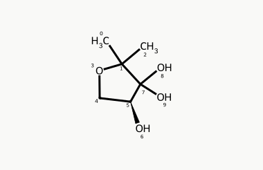 CC1(C)OC[C@H](O)C1(O)O